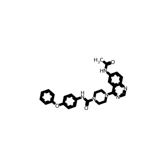 CC(=O)Nc1ccc2ncnc(N3CCN(C(=O)Nc4ccc(Oc5ccccc5)cc4)CC3)c2c1